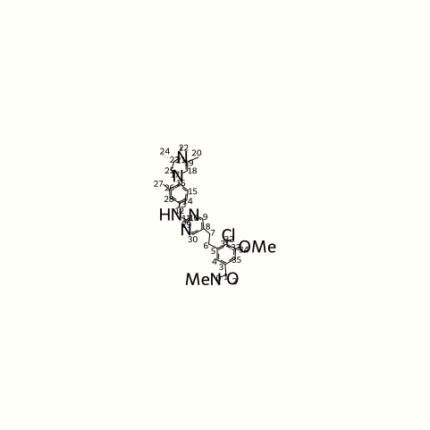 CNC(=O)c1cc(CCc2cnc(Nc3ccc(N4C=C(C)N(C)[C@@H](C)C4)c(C)c3)nc2)c(Cl)c(OC)c1